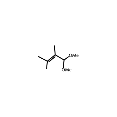 COC(OC)C(C)=C(C)C